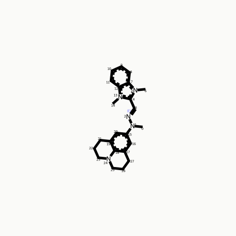 CN(/N=C/c1n(C)c2ccccc2[n+]1C)c1cc2c3c(c1)CCCN3CCC2